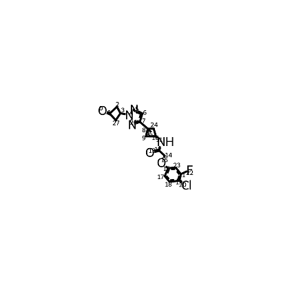 O=C1CC(n2ncc(C34CC(NC(=O)COc5ccc(Cl)c(F)c5)(C3)C4)n2)C1